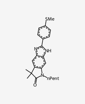 CCCCCN1C(=O)C(C)(C)c2cc3nc(-c4ccc(SC)cc4)[nH]c3cc21